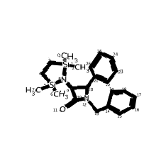 C[Si]1(C)CC[Si](C)(C)N1C1C(=O)N(Cc2ccccc2)C1c1ccccc1